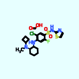 CN(C1CCC1)[C@H]1CCCC[C@@H]1Nc1cc(F)c(S(=O)(=O)Nc2nccs2)cc1Cl.O=CO